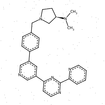 CN(C)[C@@H]1CCN(Cc2ccc(-c3cncc(-c4ccnc(-c5ccccn5)n4)c3)cc2)C1